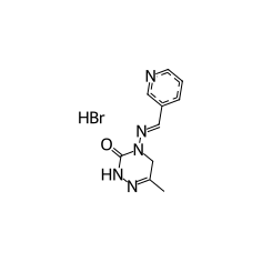 Br.CC1=NNC(=O)N(/N=C/c2cccnc2)C1